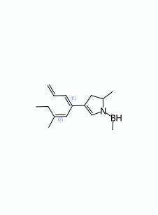 C=C/C=C(\C=C(\C)CC)C1=CN(BC)C(C)C1